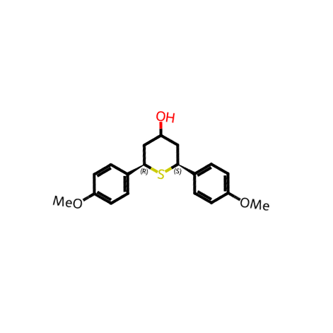 COc1ccc([C@@H]2CC(O)C[C@H](c3ccc(OC)cc3)S2)cc1